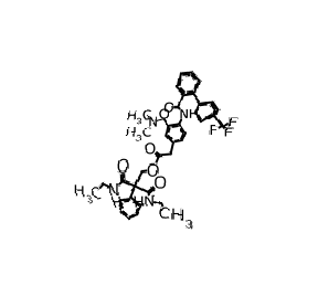 CCNC(=O)C(COC(=O)Cc1ccc(NC(=O)c2ccccc2-c2ccc(C(F)(F)F)cc2)c(C(=O)N(C)C)c1)(C(=O)NCC)c1ccccc1